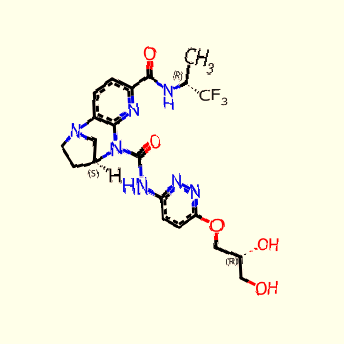 C[C@@H](NC(=O)c1ccc2c(n1)N(C(=O)Nc1ccc(OC[C@H](O)CO)nn1)[C@H]1CCN2C1)C(F)(F)F